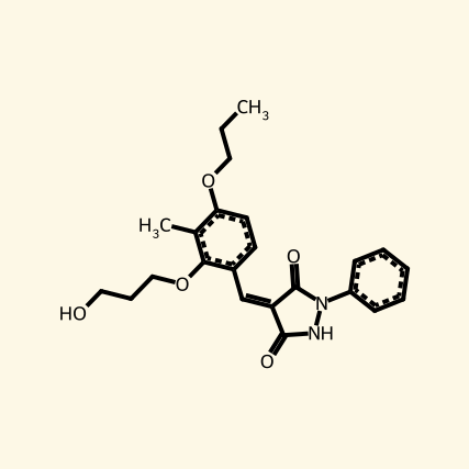 CCCOc1ccc(C=C2C(=O)NN(c3ccccc3)C2=O)c(OCCCO)c1C